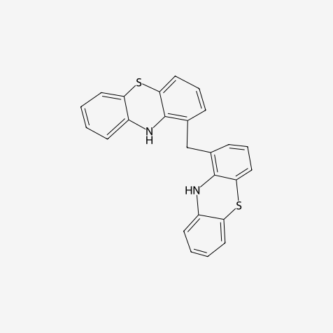 c1ccc2c(c1)Nc1c(Cc3cccc4c3Nc3ccccc3S4)cccc1S2